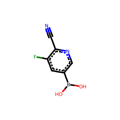 N#Cc1ncc(B(O)O)cc1F